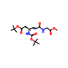 COC(=O)CNC(=O)/C=C/[C@H](CC(=O)OC(C)(C)C)NC(=O)OC(C)(C)C